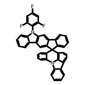 Fc1cc(F)c(-n2c3ccccc3c3cc4c(cc32)-c2ccccc2C42c3ccccc3-n3c4ccccc4c4cccc2c43)c(F)c1